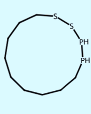 C1CCCCPPSSCCCC1